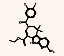 CCOC(=O)C1=CN(C(=O)c2ccc(F)c(F)c2)CC(C)(C)c2c1[nH]c1nc(N)ccc21